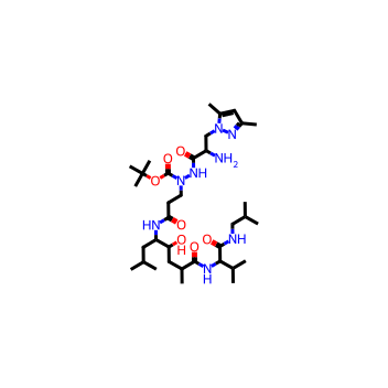 Cc1cc(C)n(CC(N)C(=O)NN(CCC(=O)NC(CC(C)C)C(O)CC(C)C(=O)NC(C(=O)NCC(C)C)C(C)C)C(=O)OC(C)(C)C)n1